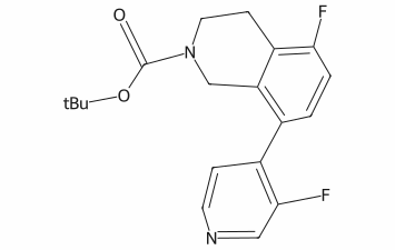 CC(C)(C)OC(=O)N1CCc2c(F)ccc(-c3ccncc3F)c2C1